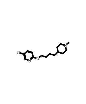 CN1CCC(CCCCOc2ccc(Cl)cn2)CC1